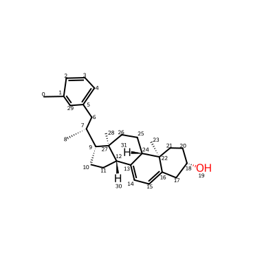 Cc1cccc(C[C@@H](C)[C@H]2CC[C@H]3C4=CC=C5C[C@@H](O)CC[C@]5(C)[C@H]4CC[C@]23C)c1